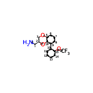 NC[C@H]1COc2cccc(-c3ccccc3OC(F)(F)F)c2O1